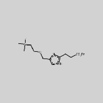 CCOC(=O)CCc1nc(COCC[Si](C)(C)C)c[nH]1